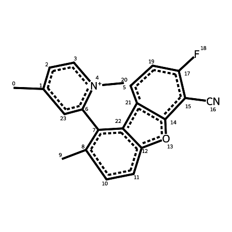 Cc1cc[n+](C)c(-c2c(C)ccc3oc4c(C#N)c(F)ccc4c23)c1